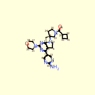 C[C@@]1(N2CCc3c(-c4cnc(N)nc4)nc(N4CCOCC4)nc32)CCN(C(=O)C2CCC2)C1